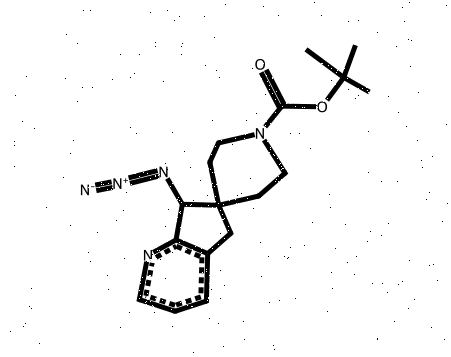 CC(C)(C)OC(=O)N1CCC2(CC1)Cc1cccnc1C2N=[N+]=[N-]